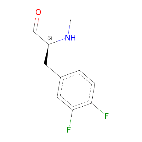 CN[C@H](C=O)Cc1ccc(F)c(F)c1